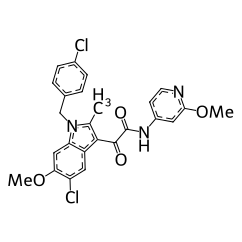 COc1cc(NC(=O)C(=O)c2c(C)n(Cc3ccc(Cl)cc3)c3cc(OC)c(Cl)cc23)ccn1